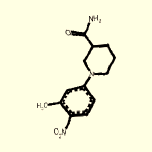 Cc1cc(N2CCCC(C(N)=O)C2)ccc1[N+](=O)[O-]